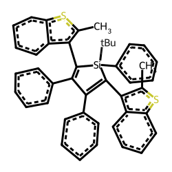 Cc1sc2ccccc2c1C1=C(c2ccccc2)C(c2ccccc2)=C(c2c(C)sc3ccccc23)[Si]1(c1ccccc1)C(C)(C)C